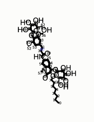 CCCCCCCCOc1c(O[C@@H]2O[C@H](CO)[C@@H](O)[C@H](O)[C@H]2O)c2ccc(NC(=O)/C=C/c3cc(OC)c(O[C@@H]4O[C@H](CO)[C@@H](O)[C@H](O)[C@H]4O)c(OC)c3)cc2n(C)c1=O